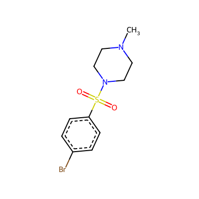 CN1CCN(S(=O)(=O)c2ccc(Br)cc2)CC1